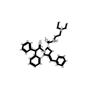 CCN(CC)CCNC(=O)[C@@H]1C/C(=C\c2ccccc2)CN1C(=O)C(c1ccccc1)c1ccccc1